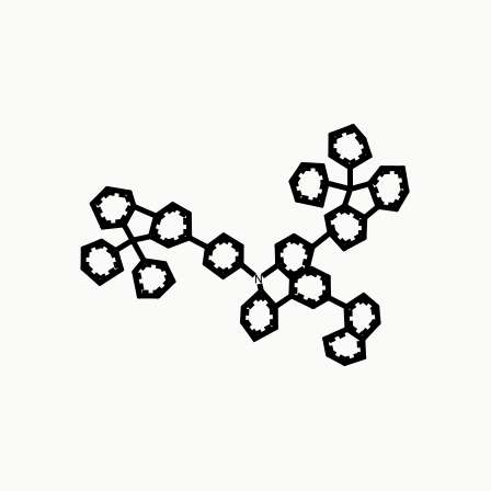 c1ccc(C2(c3ccccc3)c3ccccc3-c3ccc(-c4ccc(N(c5ccc(-c6ccc7c(c6)C(c6ccccc6)(c6ccccc6)c6ccccc6-7)cc5)c5ccccc5-c5cccc(-c6cccc7ccccc67)c5)cc4)cc32)cc1